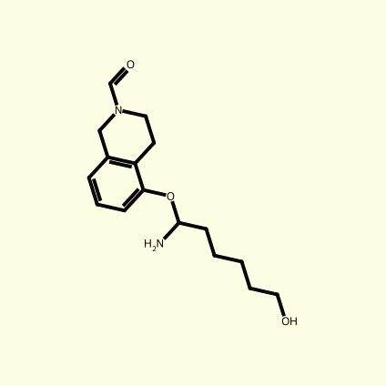 NC(CCCCCO)Oc1cccc2c1CCN(C=O)C2